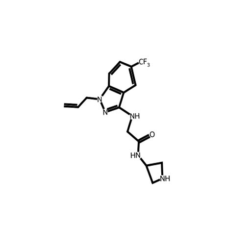 C=CCn1nc(NCC(=O)NC2CNC2)c2cc(C(F)(F)F)ccc21